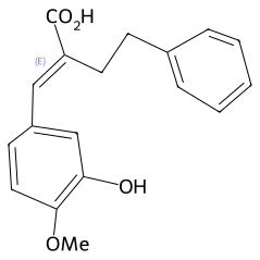 COc1ccc(/C=C(\CCc2ccccc2)C(=O)O)cc1O